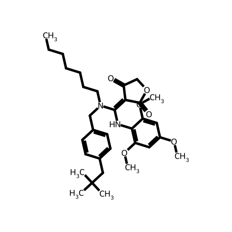 CCCCCCCN(Cc1ccc(CC(C)(C)C)cc1)C(Nc1c(OC)cc(OC)cc1OC)=C1C(=O)COC1=O